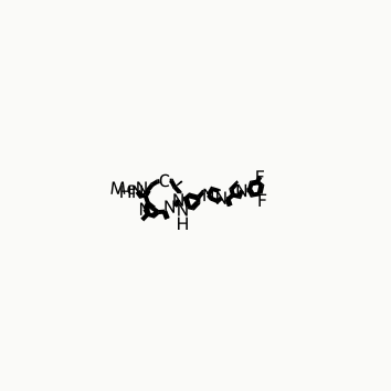 C=C1/N=C2\Nc3ccc(CN4CCN(C(=C)C5CCN(c6cc(F)cc(F)c6)C5)CC4)cc3N2C[C@H](C)CCCC/C(NC)=C(/C=N)c2cc1cc(C)n2